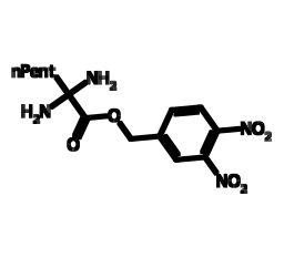 CCCCCC(N)(N)C(=O)OCc1ccc([N+](=O)[O-])c([N+](=O)[O-])c1